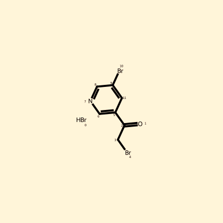 Br.O=C(CBr)c1cncc(Br)c1